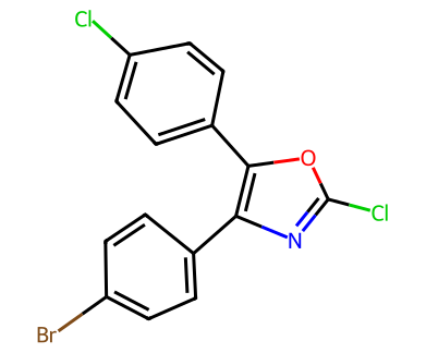 Clc1ccc(-c2oc(Cl)nc2-c2ccc(Br)cc2)cc1